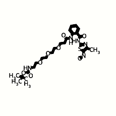 Cc1nc(NC(=O)c2ccccc2NC(=O)CCOCCOCCOCCNC(=O)OC(C)(C)C)sc1N=O